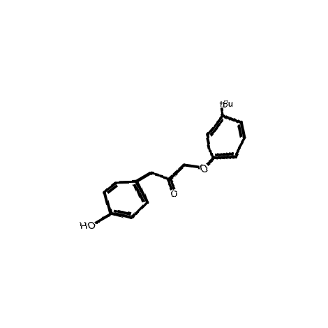 CC(C)(C)c1cccc(OCC(=O)Cc2ccc(O)cc2)c1